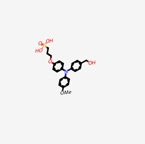 COc1ccc(N(c2ccc(CO)cc2)c2ccc(OCCCP(=O)(O)O)cc2)cc1